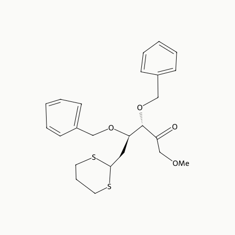 COCC(=O)[C@@H](OCc1ccccc1)[C@@H](CC1SCCCS1)OCc1ccccc1